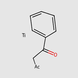 CC(=O)CC(=O)c1ccccc1.[Ti]